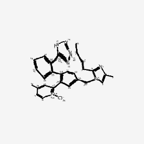 CCCCc1nc(C)cn1Cc1ccc(-c2ccccc2-c2nnn[nH]2)c(-c2cc(C)cc[n+]2[O-])c1